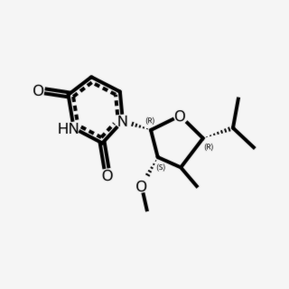 CO[C@H]1C(C)[C@@H](C(C)C)O[C@H]1n1ccc(=O)[nH]c1=O